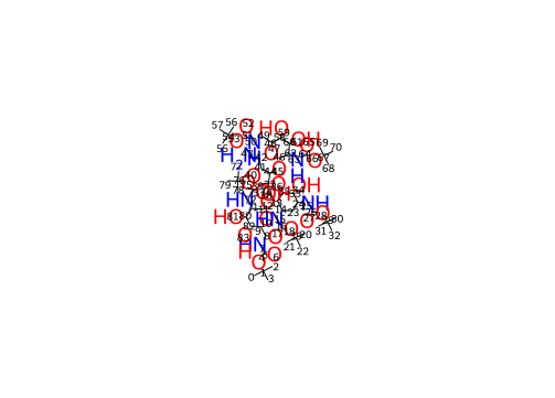 CC(C)(C)OC(=O)NCC1OC(OC2C(NC(=O)OC(C)(C)C)CC(NC(=O)OC(C)(C)C)C(O)C2OC2(O)COC(CN)C2OC2OC(CNC(=O)OC(C)(C)C)C(O)C(O)C2NC(=O)OC(C)(C)C)C(NC(=O)OC(C)(C)C)C(O)C1O